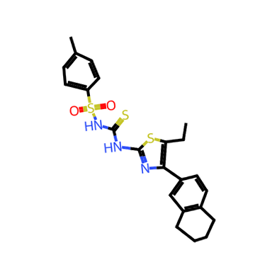 CCc1sc(NC(=S)NS(=O)(=O)c2ccc(C)cc2)nc1-c1ccc2c(c1)CCCC2